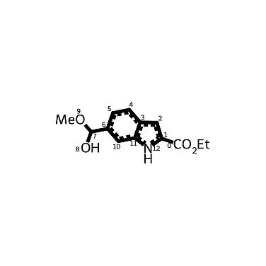 CCOC(=O)c1cc2ccc(C(O)OC)cc2[nH]1